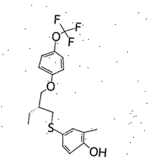 CC[C@H](COc1ccc(OC(F)(F)F)cc1)CSc1ccc(O)c(C)c1